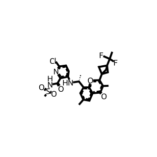 Cc1cc([C@@H](C)Nc2ccc(Cl)nc2C(=O)NS(C)(=O)=O)c2oc(C34CC(C(C)(F)F)(C3)C4)c(C)c(=O)c2c1